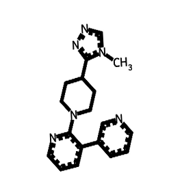 Cn1cnnc1C1CCN(c2ncccc2-c2cccnc2)CC1